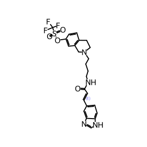 O=C(/C=C/c1ccc2[nH]cnc2c1)NCCCCN1CCc2ccc(OS(=O)(=O)C(F)(F)F)cc2C1